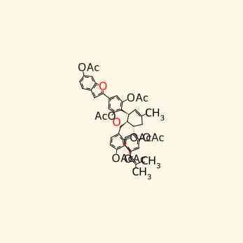 CC(=O)Oc1ccc([C@H]2CC(C)=C[C@H](c3c(OC(C)=O)cc(-c4cc5ccc(OC(C)=O)cc5o4)cc3OC(C)=O)[C@@H]2C(=O)c2ccc(OC(C)=O)c(CC=C(C)C)c2OC(C)=O)c(OC(C)=O)c1